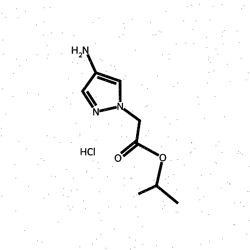 CC(C)OC(=O)Cn1cc(N)cn1.Cl